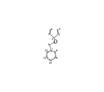 C=C[C](C=C)OCc1ccccc1